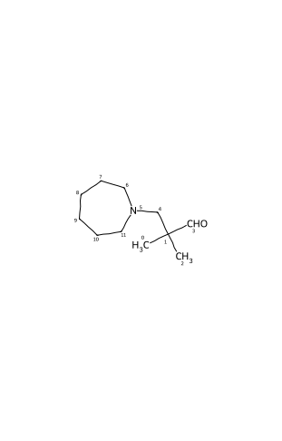 CC(C)(C=O)CN1CCCCCC1